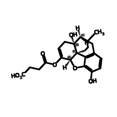 CN1CC[C@]23c4c5ccc(O)c4O[C@H]2C(OC(=O)CCC(=O)O)=CC[C@@]3(O)[C@H]1C5